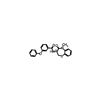 CN1C(=O)[C@H](NC(=O)c2cccc(Oc3ccccc3)c2)CSc2ccccc21